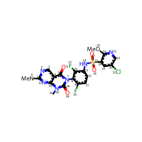 CNc1ncc2c(=O)n(-c3c(F)ccc(NS(=O)(=O)c4cc(Cl)cnc4OC)c3F)c(=O)n(C)c2n1